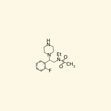 CCN(CC(c1ccccc1F)N1CCNCC1)S(C)(=O)=O